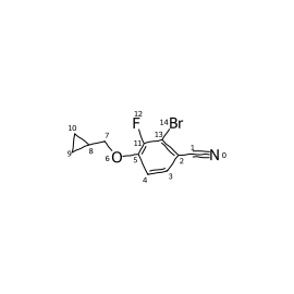 N#Cc1ccc(OCC2CC2)c(F)c1Br